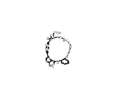 Nc1ncc2nc1C(=O)Nc1ccccc1OCCOCCNCCN(CC(=O)O)S(=O)(=O)c1ccc-2cc1